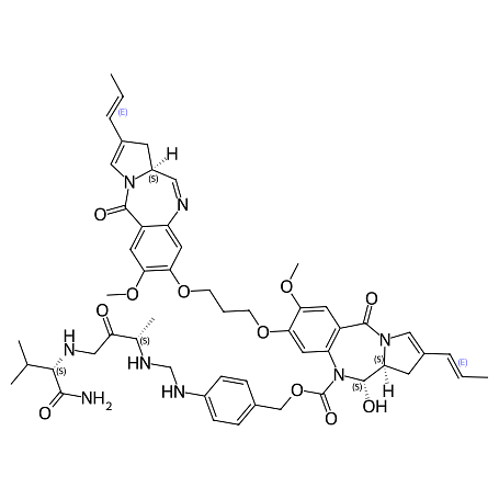 C/C=C/C1=CN2C(=O)c3cc(OC)c(OCCCOc4cc5c(cc4OC)C(=O)N4C=C(/C=C/C)C[C@H]4[C@H](O)N5C(=O)OCc4ccc(NCN[C@@H](C)C(=O)CN[C@H](C(N)=O)C(C)C)cc4)cc3N=C[C@@H]2C1